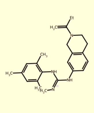 C=C(CC)N1CCc2ccc(N/C(=N/C)Nc3c(C)cc(C)cc3C)cc2C1